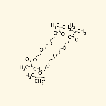 C=C(C)C(=O)OCCOCCOCCOC(=O)C(=C)C.C=C(C)C(=O)OCCOCCOCCOCCOC(=O)C(=C)C